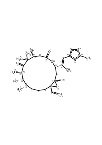 C=C[C@@]12CCC[C@H](C)[C@H](O)[C@@H](C)C(=O)C(C)(C)[C@@H](O)CC(=O)O[C@H](/C(C)=C/c3csc(C)n3)C[C@@H]1O2